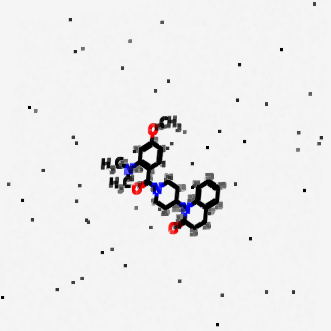 COc1ccc(C(=O)N2CCC(N3C(=O)CCc4ccccc43)CC2)c(N(C)C)c1